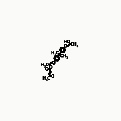 CC(=O)/C=C/C(=O)OC(C)COc1ccc(C(C)(C)c2ccc(OCC(C)O)cc2)cc1